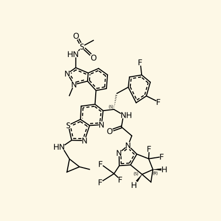 CC1CC1Nc1nc2nc([C@H](Cc3cc(F)cc(F)c3)NC(=O)Cn3nc(C(F)(F)F)c4c3C(F)(F)[C@@H]3C[C@H]43)c(-c3cccc4c(NS(C)(=O)=O)nn(C)c34)cc2s1